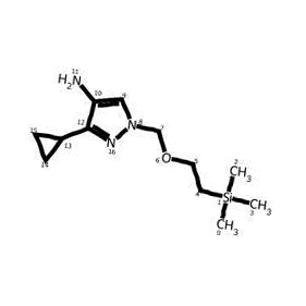 C[Si](C)(C)CCOCn1cc(N)c(C2CC2)n1